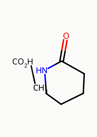 CC(=O)O.O=C1CCCCN1